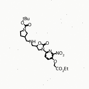 CCOC(=O)COc1ccc(N2CC(CNCC3CCN(C(=O)OC(C)(C)C)C3)OC2=O)nc1[N+](=O)[O-]